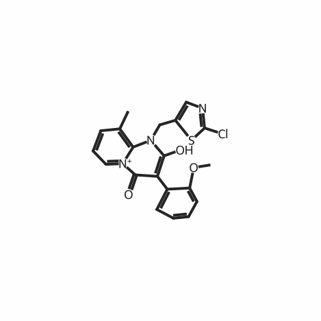 COc1ccccc1-c1c(O)n(Cc2cnc(Cl)s2)c2c(C)ccc[n+]2c1=O